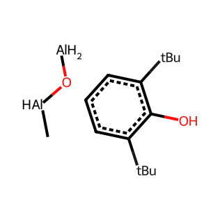 CC(C)(C)c1cccc(C(C)(C)C)c1O.[CH3][AlH][O][AlH2]